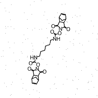 O=C(NCCCCCCNC(=O)ON1C(=O)C2C3C=CC(C3)C2C1=O)ON1C(=O)C2C3C=CC(C3)C2C1=O